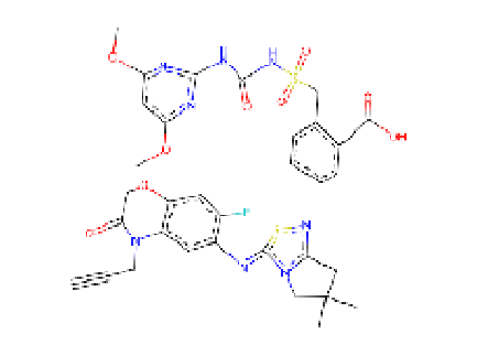 C#CCN1C(=O)COc2cc(F)c(/N=c3\snc4n3CC(C)(C)C4)cc21.COc1cc(OC)nc(NC(=O)NS(=O)(=O)Cc2ccccc2C(=O)O)n1